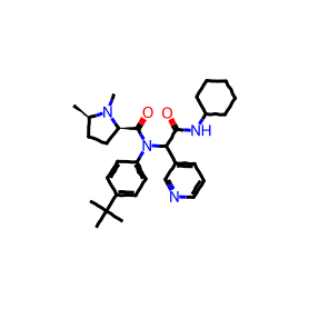 C[C@@H]1CC[C@H](C(=O)N(c2ccc(C(C)(C)C)cc2)C(C(=O)NC2CCCCC2)c2cccnc2)N1C